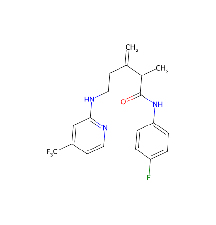 C=C(CCNc1cc(C(F)(F)F)ccn1)C(C)C(=O)Nc1ccc(F)cc1